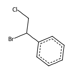 ClCC(Br)c1ccccc1